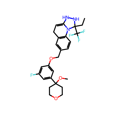 CCC1(C(F)(F)F)NNC2=CCc3cc(COc4cc(F)cc(C5(OC)CCOCC5)c4)ccc3N21